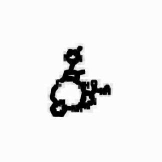 CNC(=O)c1nnc2cc1Nc1cc(cc(-c3ncn(C)n3)c1C)CCCc1cccc(n1)N2